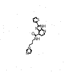 O=C(NCCCn1ccnc1)c1ccnc2[nH]c(-c3cccs3)nc12